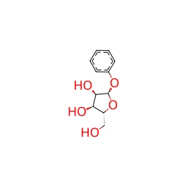 OC[C@H]1O[C@H](Oc2ccccc2)[C@H](O)[C@@H]1O